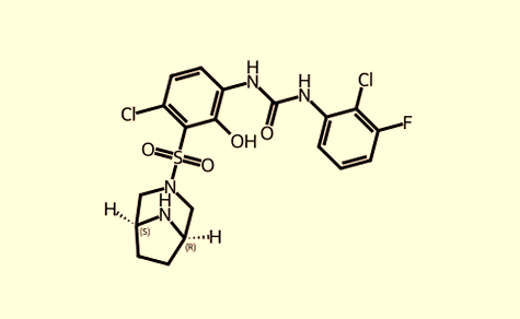 O=C(Nc1ccc(Cl)c(S(=O)(=O)N2C[C@H]3CC[C@@H](C2)N3)c1O)Nc1cccc(F)c1Cl